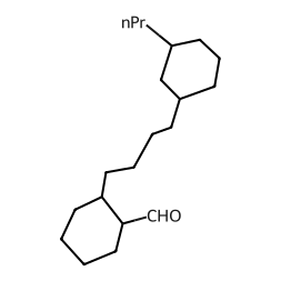 CCCC1CCCC(CCCCC2CCCCC2C=O)C1